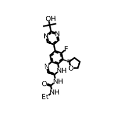 CCNC(=O)NC1=C=Nc2cc(-c3cnc(C(C)(C)O)nc3)c(F)c([C@H]3CCCO3)c2N1